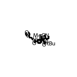 COc1ncccc1-c1c(Br)c2cc(C(=O)NCCCN3CCOCC3)ccc2n1C(=O)OC(C)(C)C